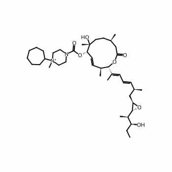 CC[C@H](O)[C@@H](C)[C@H]1O[C@@H]1C[C@H](C)/C=C/C=C(\C)[C@H]1OC(=O)C[C@H](C)CC[C@@](C)(O)[C@@H](OC(=O)N2CC[N+](C)(C3CCCCCC3)CC2)/C=C/[C@@H]1C